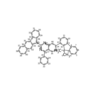 CC1(C)c2ccccc2-c2cccc(-c3ccc4c(-c5ccccc5)nc(-n5c6ccccc6c6cc7ccccc7cc65)nc4c3)c21